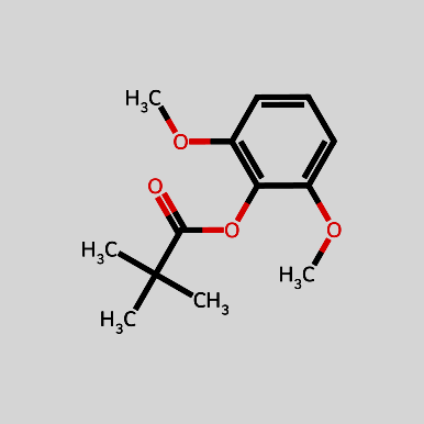 COc1cccc(OC)c1OC(=O)C(C)(C)C